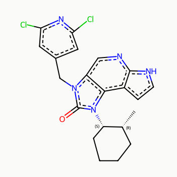 C[C@@H]1CCCC[C@@H]1n1c(=O)n(Cc2cc(Cl)nc(Cl)c2)c2cnc3[nH]ccc3c21